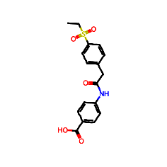 CCS(=O)(=O)c1ccc(CC(=O)Nc2ccc(C(=O)O)cc2)cc1